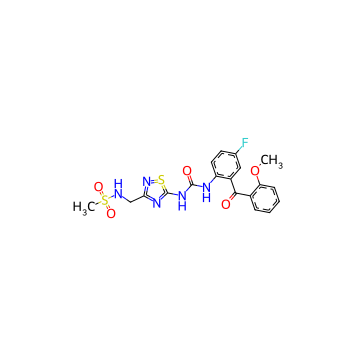 COc1ccccc1C(=O)c1cc(F)ccc1NC(=O)Nc1nc(CNS(C)(=O)=O)ns1